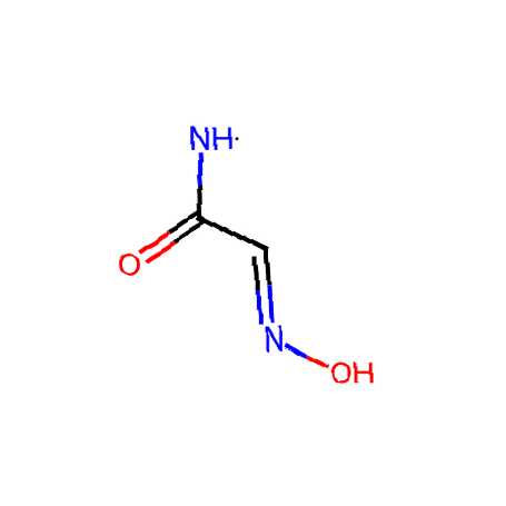 [NH]C(=O)C=NO